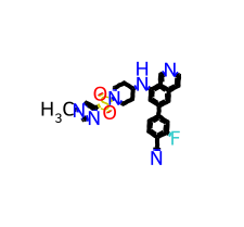 Cn1cnc(S(=O)(=O)N2CCC(Nc3cc(-c4ccc(C#N)c(F)c4)cc4ccncc34)CC2)c1